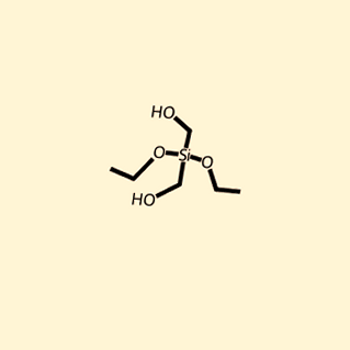 CCO[Si](CO)(CO)OCC